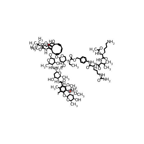 CCN(C(=O)OCc1ccc(NC(=O)[C@H](CCCNC(N)=O)NC(=O)[C@@H](NC(=O)[C@H](CCCCN)NC(C)=O)C(C)C)cc1)[C@H]1CO[C@@H](O[C@H]2[C@H](O[C@H]3C#C/C=C\C#C[C@]4(O)CC(=O)C(NC(=O)OC)=C3/C4=C\CSSC(C)(C)C)O[C@H](C)[C@@H](NO[C@H]3C[C@H](O)[C@H]([SH]=C(O)c4c(C)c(I)c(O[C@@H]5O[C@@H](C)[C@H](O)[C@@H](OC)[C@H]5O)c(OC)c4OC)[C@@H](C)O3)[C@@H]2O)C[C@@H]1OC